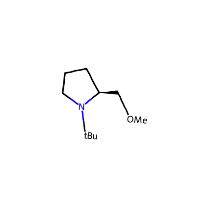 COC[C@@H]1CCCN1C(C)(C)C